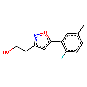 Cc1ccc(F)c(-c2cc(CCO)no2)c1